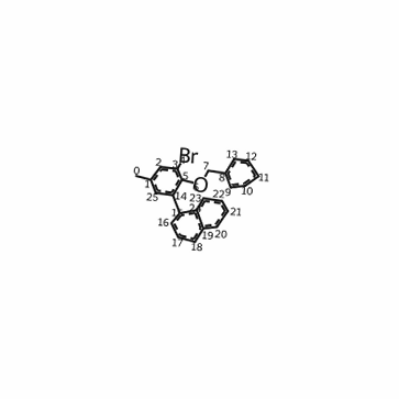 Cc1cc(Br)c(OCc2ccccc2)c(-c2cccc3ccccc23)c1